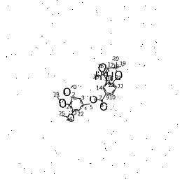 COc1cc(COC(=O)c2ccc3c(c2)[C@@H]2O[C@@H]2C(C)(C)O3)cc(OC)c1OC